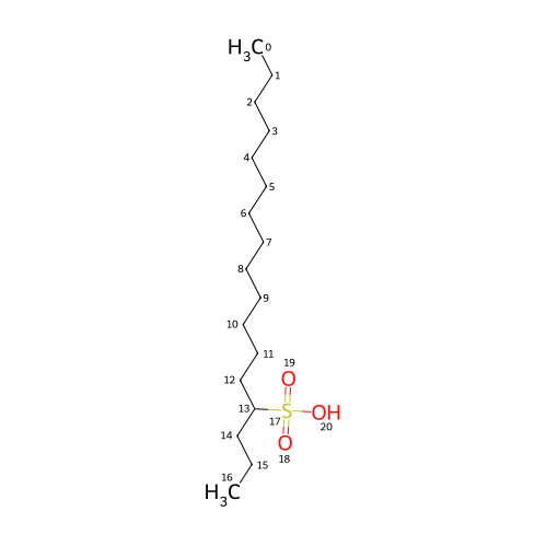 CCCCCCCCCCCCCC(CCC)S(=O)(=O)O